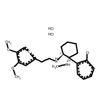 CN[C@@]1(c2ccccc2Cl)CCCC[C@@H]1NCCc1ccc(OC)c(OC)c1.Cl.Cl